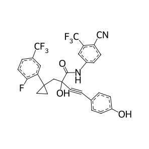 N#Cc1ccc(NC(=O)C(O)(C#Cc2ccc(O)cc2)CC2(c3cc(C(F)(F)F)ccc3F)CC2)cc1C(F)(F)F